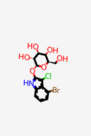 OC[C@H]1O[C@@H](Oc2[nH]c3cccc(Br)c3c2Cl)[C@H](O)[C@@H](O)[C@H]1O